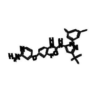 Cc1cc(C)cc(-n2nc(C(C)(C)C)cc2NC(=O)Nc2ccc(Oc3ccnc(N)c3)cc2F)c1